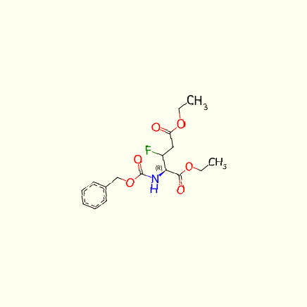 CCOC(=O)CC(F)[C@H](NC(=O)OCc1ccccc1)C(=O)OCC